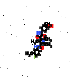 Cc1cc(NC(=O)c2c(C)c(C(=O)C(=O)N[C@H]3CC[C@](C)(O)CC3)n(C)c2C)ccc1F